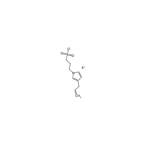 C=CCc1ccn(CCCS(=O)(=O)[O-])c1.[K+]